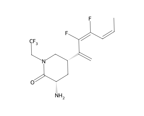 C=C(/C(F)=C(F)\C=C/C)[C@@H]1C[C@H](N)C(=O)N(CC(F)(F)F)C1